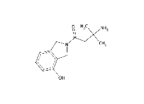 CC(C)(N)CC(=O)N1Cc2cccc(O)c2C1